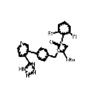 CCCCc1cn(-c2c(Cl)cccc2CC)c(=O)n1Cc1ccc(-c2cnccc2-c2nnn[nH]2)cc1